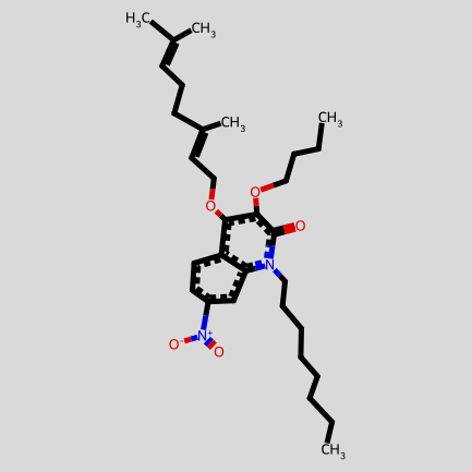 CCCCCCCCn1c(=O)c(OCCCC)c(OC/C=C(\C)CCC=C(C)C)c2ccc([N+](=O)[O-])cc21